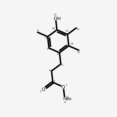 CCCCOC(=O)CCc1cc(C)c(O)c(C)c1C